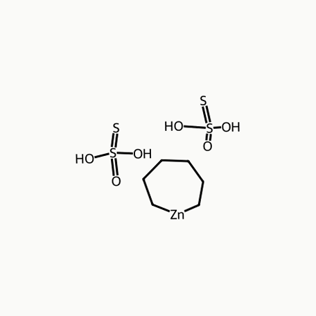 C1CC[CH2][Zn][CH2]C1.O=S(O)(O)=S.O=S(O)(O)=S